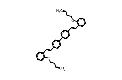 C=CCCOc1ccccc1C=Cc1ccc(-c2ccc(C=Cc3ccccc3OCCC=C)cc2)cc1